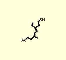 C=C/C(=C\C=C(/C)CCC(C)=O)CCS